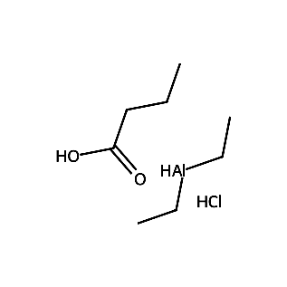 CCCC(=O)O.C[CH2][AlH][CH2]C.Cl